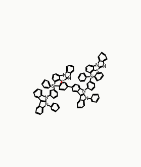 c1ccc(-n2c3ccccc3c3c4ccccc4n(-c4cccc([Si](c5ccccc5)(c5ccc(-c6ccc7c(c6)c6c8ccccc8n(-c8ccccc8)c6n7-c6cccc([Si](c7ccccc7)(c7ccccc7)c7cccc8c7sc7nc9ccccc9n78)c6)cc5)c5cccc6c5oc5nc7ccccc7n56)c4)c32)cc1